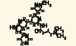 CN(C)C/C=C/C(=O)Nc1cc(-c2cnc3[nH]cc(-c4ccncn4)c3c2)cc(-c2cnn(C)c2)n1